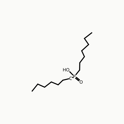 CCCCCCCP(=O)(O)CCCCCCC